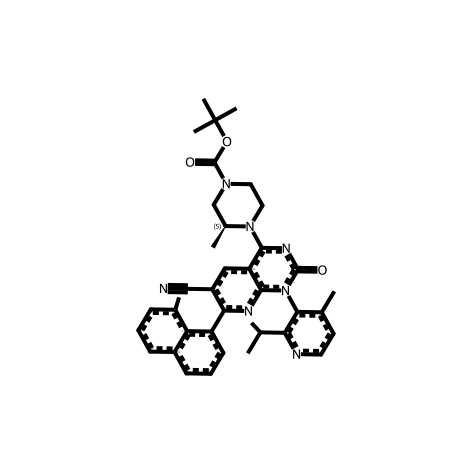 Cc1ccnc(C(C)C)c1-n1c(=O)nc(N2CCN(C(=O)OC(C)(C)C)C[C@@H]2C)c2cc(C#N)c(-c3cccc4cccc(C)c34)nc21